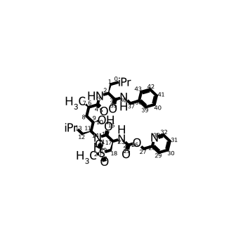 CC(C)C[C@H](NC(=O)[C@H](C)C[C@H](O)[C@H](CC(C)C)NC(=O)[C@H](CS(C)(=O)=O)NC(=O)OCc1ccccn1)C(=O)NCc1ccccc1